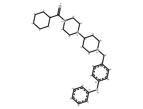 O=C(C1CCCCC1)N1CCN(C2CCN(Cc3ccc(Oc4ccccc4)cc3)CC2)CC1